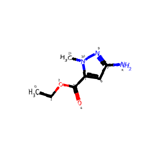 CCOC(=O)c1cc(N)nn1C